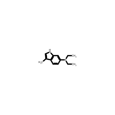 CCN(CC)c1ccc2c(C)c[nH]c2c1